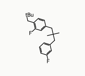 CC(C)(C)Cc1ccc(CC(C)(C)Cc2cccc(F)c2)cc1F